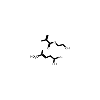 C=C(C)C(=O)OCCO.CCCCC(O)CC=C(C)C(=O)O